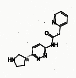 O=C(Cc1ccccn1)Nc1ccc([C@@H]2CCNC2)nn1